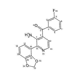 Nc1c(C(=O)c2cccc(F)c2)ccnc1-c1cccc2c1OCO2